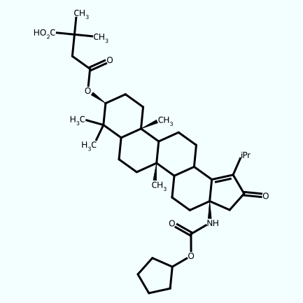 CC(C)C1=C2C3CCC4[C@@](C)(CCC5C(C)(C)[C@@H](OC(=O)CC(C)(C)C(=O)O)CC[C@@]54C)C3CC[C@@]2(NC(=O)OC2CCCC2)CC1=O